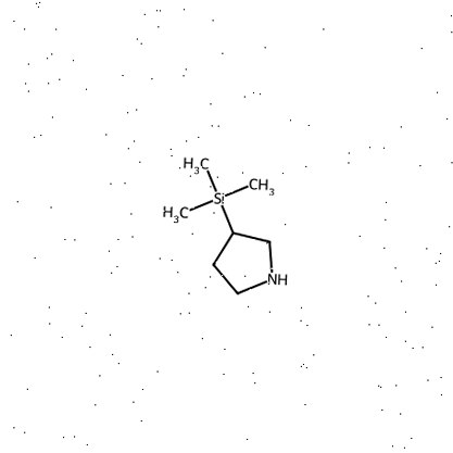 C[Si](C)(C)C1CCNC1